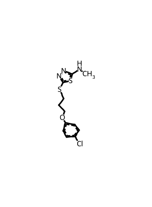 CNc1nnc(SCCCOc2ccc(Cl)cc2)s1